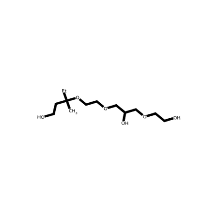 CCC(C)(CCO)OCCOCC(O)COCCO